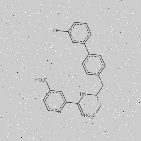 O=C(O)C[C@@H](Cc1ccc(-c2cccc(Cl)c2)cc1)NC(=O)c1cc(C(=O)O)ccn1